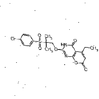 CCc1cc(=O)oc2nc(OCC(C)(C)S(=O)(=O)c3ccc(Cl)cc3)[nH]c(=O)c12